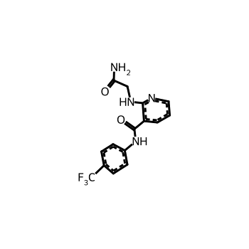 NC(=O)CNc1ncccc1C(=O)Nc1ccc(C(F)(F)F)cc1